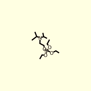 CCO[Si](OCC)(OCC)OCCN(C(C)C)C(C)C